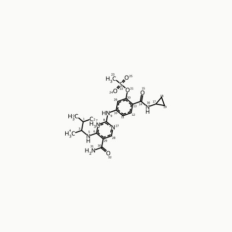 CC(C)C(C)Nc1nc(Nc2ccc(C(=O)NC3CC3)c(OS(C)(=O)=O)c2)ncc1C(N)=O